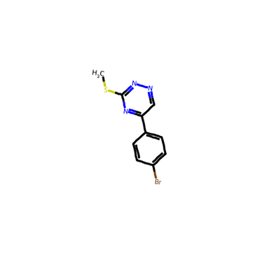 CSc1nncc(-c2ccc(Br)cc2)n1